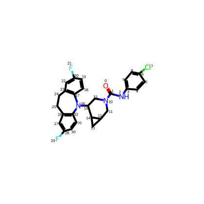 O=C(Nc1ccc(Cl)cc1)N1CC2CC2C(N2c3ccc(F)cc3CCc3cc(F)ccc32)C1